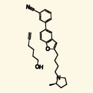 C#CCCCCO.C[C@@H]1CCCN1CCCCc1cc2cc(-c3cccc(C#N)c3)ccc2o1